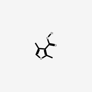 CCOC(=O)c1c(C)coc1C